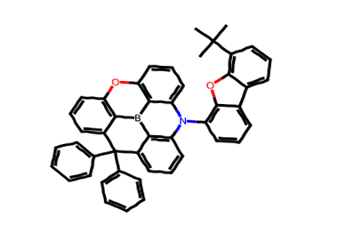 CC(C)(C)c1cccc2c1oc1c(N3c4cccc5c4B4c6c(cccc6C(c6ccccc6)(c6ccccc6)c6cccc3c64)O5)cccc12